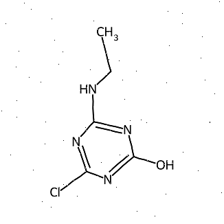 CCNc1nc(O)nc(Cl)n1